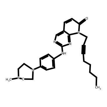 CCCCCC#CCn1c(=O)ccc2cnc(Nc3ccc(N4CCN(C)CC4)cc3)nc21